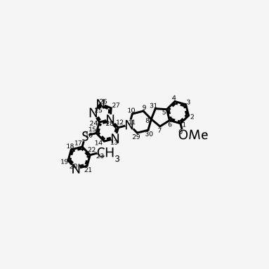 COc1cccc2c1CC1(CCN(c3ncc(Sc4ccncc4C)c4nncn34)CC1)C2